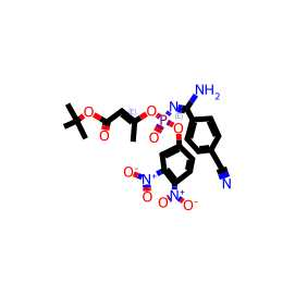 C/C(=C\C(=O)OC(C)(C)C)OP(=O)(/N=C(/N)c1ccc(C#N)cc1)Oc1ccc([N+](=O)[O-])c([N+](=O)[O-])c1